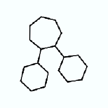 C1CCC([C]2CCCCCC2C2CCCCC2)CC1